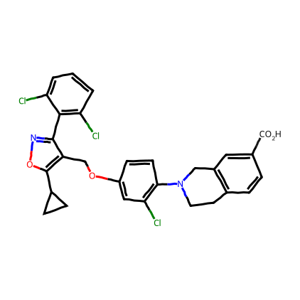 O=C(O)c1ccc2c(c1)CN(c1ccc(OCc3c(-c4c(Cl)cccc4Cl)noc3C3CC3)cc1Cl)CC2